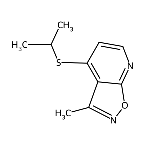 Cc1noc2nccc(SC(C)C)c12